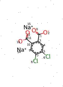 O=C([O-])c1cc(Cl)c(Cl)cc1C(=O)[O-].[Na+].[Na+]